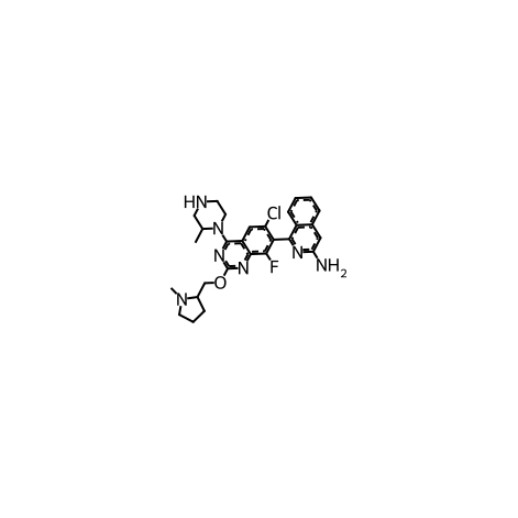 CC1CNCCN1c1nc(OCC2CCCN2C)nc2c(F)c(-c3nc(N)cc4ccccc34)c(Cl)cc12